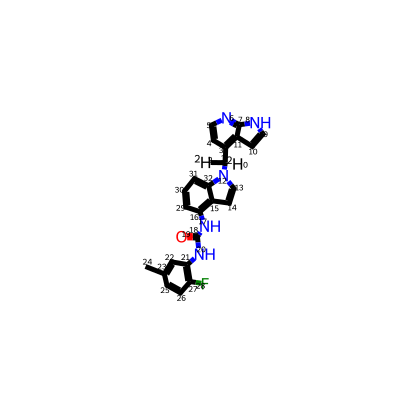 [2H]C([2H])(c1ccnc2[nH]ccc12)n1ccc2c(NC(=O)Nc3cc(C)ccc3F)cccc21